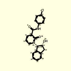 O=C(Nc1ccc(Cl)cc1)c1cccn([C@H]2c3ccccc3C[C@H]2O)c1=O